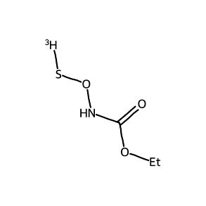 [3H]SONC(=O)OCC